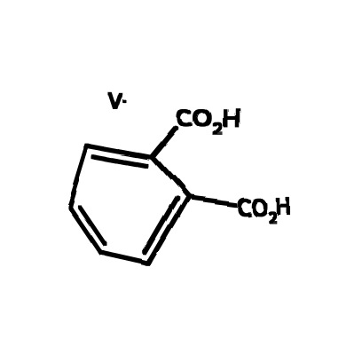 O=C(O)c1ccccc1C(=O)O.[V]